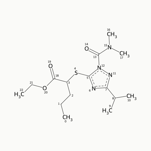 CCCC(Sc1nc(C(C)C)nn1C(=O)N(C)C)C(=O)OCC